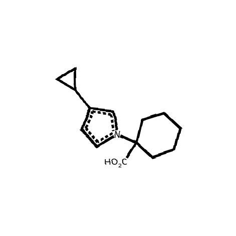 O=C(O)C1(n2ccc(C3CC3)c2)CCCCC1